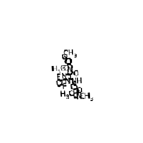 COc1ccc(CN2Cc3nc(-c4c(F)cccc4F)nc(Nc4ccc(C5(C)CCN(C)C5=O)cc4)c3C2=O)c(OC)c1